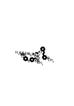 COc1cccc(CCc2ccccc2OC[C@@H](CN(C)C)OCOP(=S)(Cc2ccc(Sc3ccc(OP(=S)(OC)OC)cc3)cc2)OC)c1